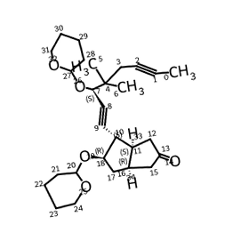 CC#CCC(C)(C)[C@@H](C#C[C@@H]1[C@H]2CC(=O)C[C@H]2C[C@H]1OC1CCCCO1)OC1CCCCO1